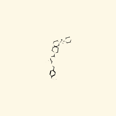 COc1ccc(COC[C@@H](OC(=O)N2CCC3(CC2)CN(S(=O)(=O)N2CCOCC2)CCO3)C(F)(F)F)cc1